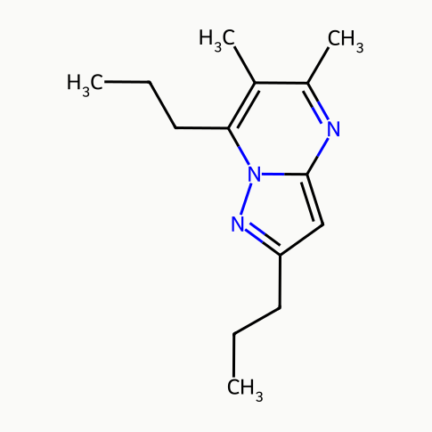 CCCc1cc2nc(C)c(C)c(CCC)n2n1